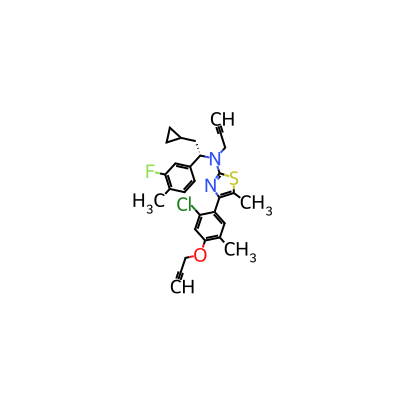 C#CCOc1cc(Cl)c(-c2nc(N(CC#C)[C@@H](CC3CC3)c3ccc(C)c(F)c3)sc2C)cc1C